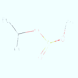 CCC(C)OS(=O)OC(CC)CC